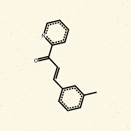 Cc1cccc(C=CC(=O)c2ccccn2)c1